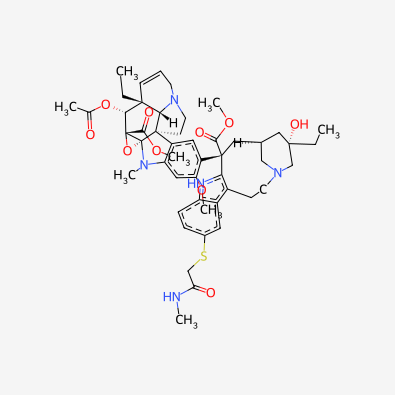 CC[C@]1(O)C[C@H]2CN(CCc3c([nH]c4ccc(SCC(=O)NC)cc34)[C@@](C(=O)OC)(c3cc4c(cc3OC)N(C)[C@@]35O[C@]3(C(=O)OC)[C@H](OC(C)=O)[C@]3(CC)C=CCN6CC[C@]45[C@@H]63)C2)C1